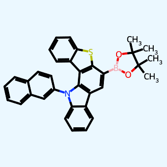 CC1(C)OB(c2cc3c4ccccc4n(-c4ccc5ccccc5c4)c3c3c2sc2ccccc23)OC1(C)C